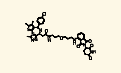 Cc1sc2c(c1C)C(c1ccc(Cl)cc1)=N[C@@H](CC(=O)NCCCOCCCNc1cccc3c1C(=O)N(C1CCC(=O)NC1=O)C3=O)c1nnc(C)n1-2